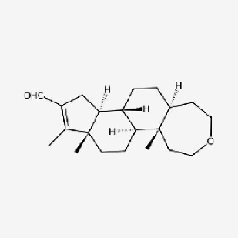 CC1=C(C=O)C[C@H]2[C@@H]3CC[C@H]4CCOCC[C@]4(C)[C@H]3CC[C@]12C